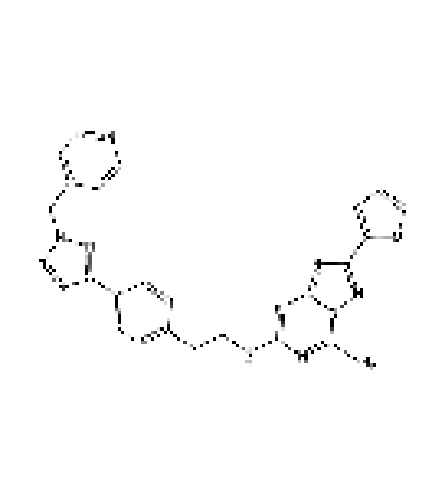 Nc1nc(NCCc2ccc(-c3nnn(Cc4ccncc4)n3)cc2)nc2nc(-c3ccco3)nn12